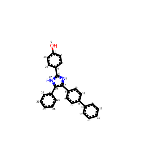 Oc1ccc(-c2nc(-c3ccc(-c4ccccc4)cc3)c(-c3ccccc3)[nH]2)cc1